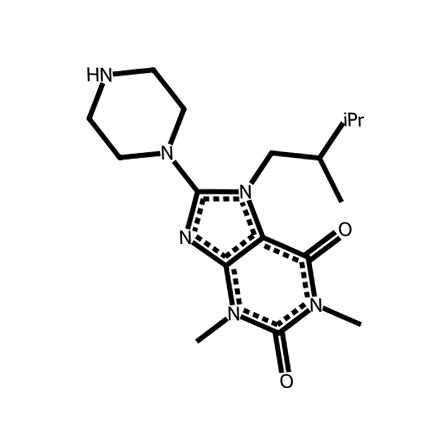 CC(C)C(C)Cn1c(N2CCNCC2)nc2c1c(=O)n(C)c(=O)n2C